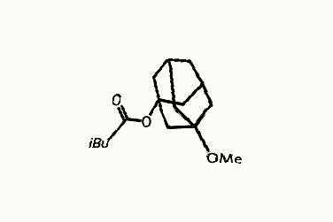 CCC(C)C(=O)OC12CC3CC(CC(OC)(C3)C1)C2